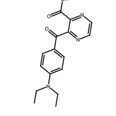 CCN(CC)c1ccc(C(=O)c2nccnc2C(=O)O)cc1